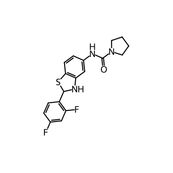 O=C(Nc1ccc2c(c1)NC(c1ccc(F)cc1F)S2)N1CCCC1